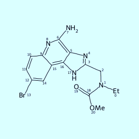 CCN(Cc1nc2c(N)nc3ccc(Br)cc3c2[nH]1)C(=O)OC